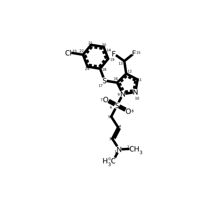 CN(C)C=CCS(=O)(=O)n1ncc(C(F)F)c1Sc1cccc(Cl)c1